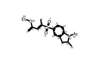 C=C(/C=C(\C)S(=O)(=O)c1ccc2c(c1)CC(C)N2C(C)=O)OCC